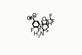 NC1=N[C@@]2(c3cc([N+](=O)[O-])cc(F)c3F)CO[C@H](C(F)F)[C@H]2CS1